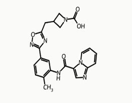 Cc1ccc(-c2noc(CC3CN(C(=O)O)C3)n2)cc1NC(=O)c1cnc2ccccn12